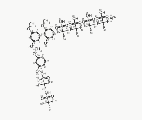 COc1cccc([O-])c1.COc1cccc([O-])c1.COc1cccc([O-])c1.O=S(=O)(O)C(F)(F)F.O=S(=O)(O)C(F)(F)F.O=S(=O)(O)C(F)(F)F.O=S(=O)(O)C(F)(F)F.O=S(=O)(O)C(F)(F)F.O=S(=O)(O)C(F)(F)F.[Al+3]